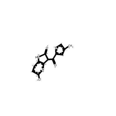 Cc1csc(C(=O)C2C(=O)Nc3ccc(Cl)nc32)c1